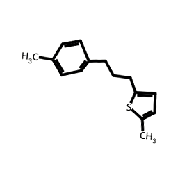 Cc1ccc(CCCc2ccc(C)s2)cc1